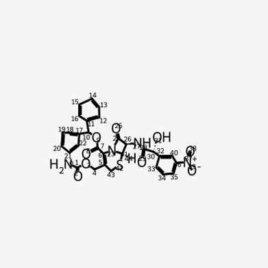 NC(=O)OCC1=C(C(=O)OC(c2ccccc2)c2ccccc2)N2C(=O)[C@@H](NC(=O)[C@H](O)c3cccc([N+](=O)[O-])c3)[C@H]2SC1